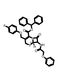 O=C(COc1ccccc1)NC1C(=O)N2C(C(=O)OC(c3ccccc3)c3ccccc3)=C(COc3ccc(F)cc3)CS[C@@H]12